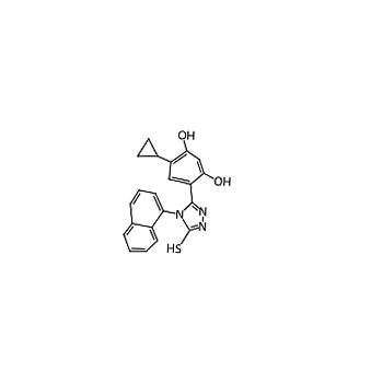 Oc1cc(O)c(C2CC2)cc1-c1nnc(S)n1-c1cccc2ccccc12